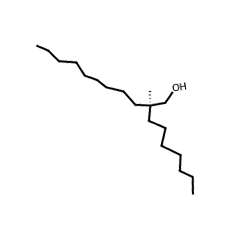 CCCCCCCCC[C@@](C)(CO)CCCCCCC